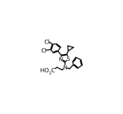 O=C(O)CCN(Cc1ccccc1)c1nc(-c2ccc(Cl)c(Cl)c2)c(C2CC2)s1